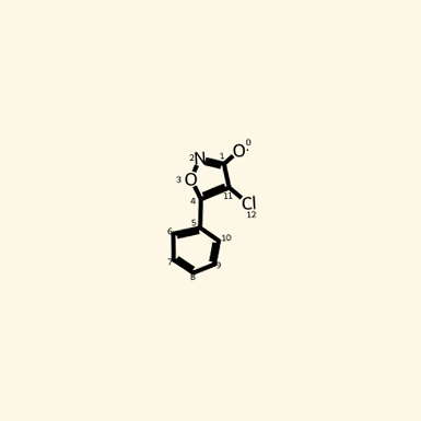 [O]c1noc(-c2ccccc2)c1Cl